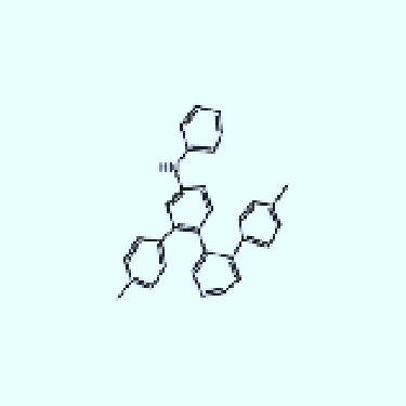 Cc1ccc(-c2ccccc2-c2ccc(Nc3ccccc3)cc2-c2ccc(C)cc2)cc1